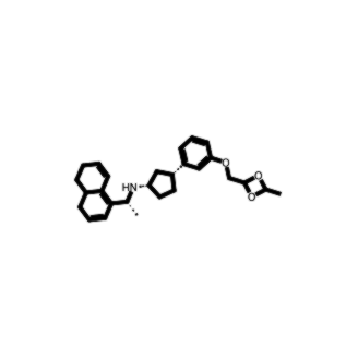 CC1OC(COc2cccc([C@@H]3CC[C@H](N[C@H](C)C4=C5C=CCCC5CC=C4)C3)c2)O1